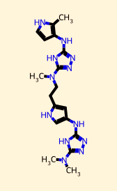 Cc1[nH]ccc1Nc1nnc(N(C)CCc2cc(Nc3nnc(N(C)C)[nH]3)c[nH]2)[nH]1